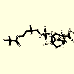 CC(C)(CCOC(=O)C(C)(C)C)COS(=O)(=O)ON1C(=O)N2CC[C@H]1CC[C@H]2C(N)=O